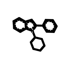 c1ccc(-c2cc3ccccc3n2C2CCCCC2)cc1